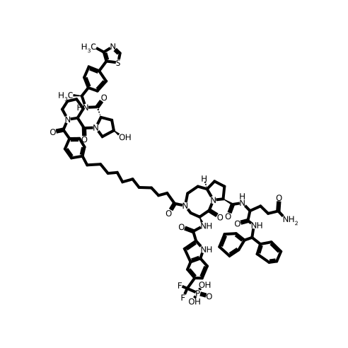 Cc1ncsc1-c1ccc([C@H](C)NC(=O)[C@@H]2C[C@@H](O)CN2C(=O)C2CCCCN2C(=O)c2ccc(CCCCCCCCCCC(=O)N3CC[C@H]4CC[C@@H](C(=O)NC(CCC(N)=O)C(=O)NC(c5ccccc5)c5ccccc5)N4C(=O)[C@@H](NC(=O)c4cc5cc(C(F)(F)P(=O)(O)O)ccc5[nH]4)C3)cc2)cc1